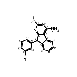 Nc1nc(N)c2c(n1)C(c1cccc(Cl)c1)c1ccccc1-2